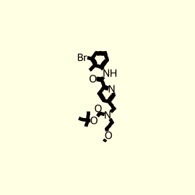 COCCN(Cc1ccc(C(=O)Nc2cccc(Br)c2C)nc1)C(=O)OC(C)(C)C